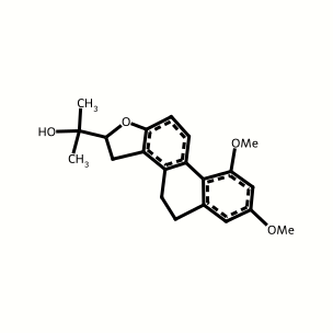 COc1cc2c(c(OC)c1)-c1ccc3c(c1CC2)CC(C(C)(C)O)O3